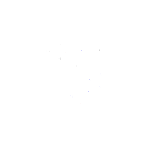 Cc1cc(Nc2ncnc(-c3cc(C#N)c4c(c3)[C@@](C)(CO[Si](C)(C)C(C)(C)C)CN4)n2)c(=O)n(C)c1